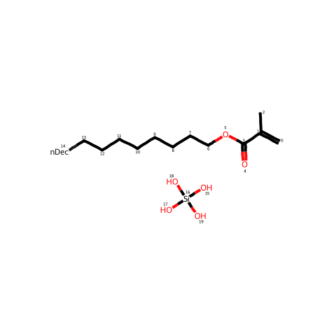 C=C(C)C(=O)OCCCCCCCCCCCCCCCCCC.O[Si](O)(O)O